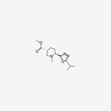 COC(=O)[C@@H]1CC[C@@H](c2nnc(C(C)C)o2)N(C)C1